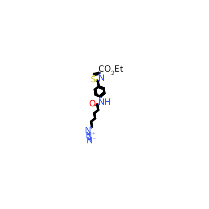 CCOC(=O)c1csc(-c2ccc(NC(=O)CCCCCN=[N+]=[N-])cc2)n1